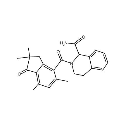 Cc1cc(C)c2c(c1C(=O)N1CCc3c[c]ccc3C1C(N)=O)CC(C)(C)C2=O